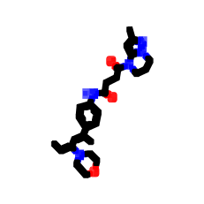 C/C=C(\C=C(/C)c1ccc(NC(=O)CCC(=O)N2CCCn3nc(C)cc32)cc1)N1CCOCC1